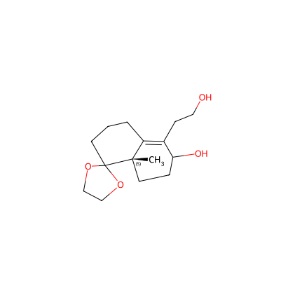 C[C@]12CCC(O)C(CCO)=C1CCCC21OCCO1